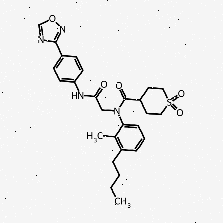 CCCCc1cccc(N(CC(=O)Nc2ccc(-c3ncon3)cc2)C(=O)C2CCS(=O)(=O)CC2)c1C